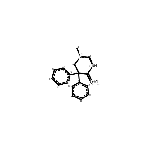 CN1CNC(=O)C(c2ccccc2)(c2ccccn2)C1.Cl